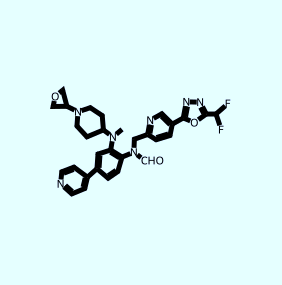 CN(c1cc(-c2ccncc2)ccc1N(C=O)Cc1ccc(-c2nnc(C(F)F)o2)cn1)C1CCN(C2COC2)CC1